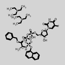 CCN(CC)CC.CCN(CC)CC.C[C@H](NP(=O)(Oc1cccc2ccccc12)OP(=O)(O)OP(=O)(O)OC[C@H]1O[C@@H](n2cc(F)c(=O)[nH]c2=O)C[C@@H]1O)C(=O)OCc1ccccc1